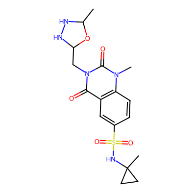 CC1NNC(Cn2c(=O)c3cc(S(=O)(=O)NC4(C)CC4)ccc3n(C)c2=O)O1